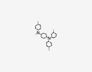 Cc1ccc(N(C)c2ccc(N(c3ccc(C)cc3)c3cccc(C)c3)cc2)cc1